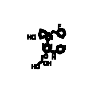 Cl.OC[C@@H](O)COc1cnc(-c2nn(Cc3ccccc3F)c3ccccc23)nc1Nc1ccncc1